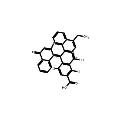 CCc1cc(C)c(/C(=C2\C(C)=CC(=O)c3ccccc32)c2c(Cl)cc(C(=O)O)c(Cl)c2C(=O)O)c2ccccc12